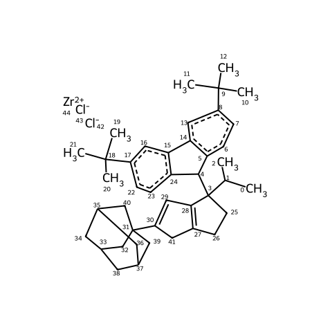 CC(C)C1(C2c3ccc(C(C)(C)C)cc3-c3cc(C(C)(C)C)ccc32)CCC2=C1C=C(C13CC4CC(CC(C4)C1)C3)C2.[Cl-].[Cl-].[Zr+2]